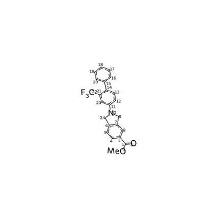 COC(=O)c1ccc2c(c1)CN(c1ccc(-c3ccccc3)c(C(F)(F)F)c1)C2